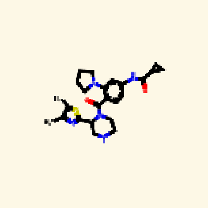 Cc1nc(C2CNCCN2C(=O)c2ccc(NC(=O)C3CC3)cc2N2CCCC2)sc1C